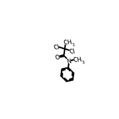 CN(C(=O)C(C)(Cl)Cl)c1ccccc1